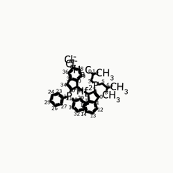 CC(C)CP(CC(C)C)C1=Cc2ccccc2[CH]1[Hf+2][CH]1C(P(c2ccccc2)c2ccccc2)=Cc2ccccc21.[Cl-].[Cl-]